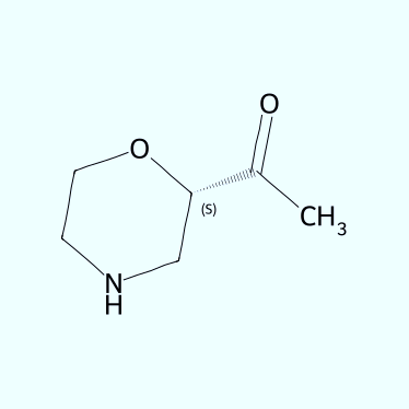 CC(=O)[C@@H]1CNCCO1